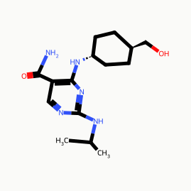 CC(C)Nc1ncc(C(N)=O)c(N[C@H]2CC[C@H](CO)CC2)n1